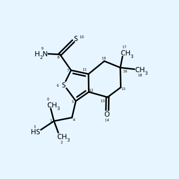 CC(C)(S)Cc1sc(C(N)=S)c2c1C(=O)CC(C)(C)C2